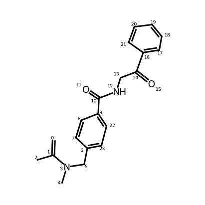 C=C(C)N(C)Cc1ccc(C(=O)NCC(=O)c2ccccc2)cc1